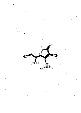 CC(C)=O.O=C1O[C@H]([C@@H](O)CO)C(O)=C1O